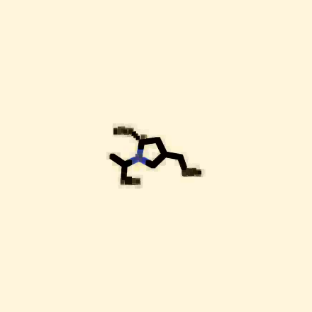 CCCCCCC(C)N1CC(COC)C[C@H]1CCCCCC